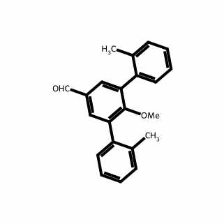 COc1c(-c2ccccc2C)cc(C=O)cc1-c1ccccc1C